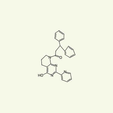 O=C(CC(c1ccccc1)c1ccccc1)N1CCCc2c(O)nc(-c3ccccn3)nc21